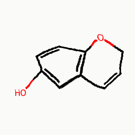 Oc1ccc2c(c1)C=CCO2